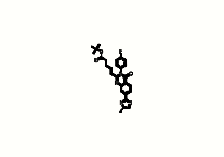 Cc1csc(-c2ccc3c(=O)n(-c4ccc(F)cc4)c(CCCCC(=O)OC(C)(C)C)nc3c2)n1